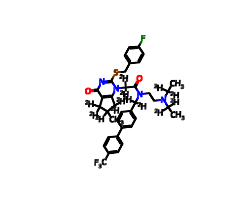 [2H]C([2H])(C)N(CCN(C(=O)C([2H])([2H])n1c(SCc2ccc(F)cc2)nc(=O)c2c1C([2H])([2H])C([2H])(C)C2([2H])[2H])C([2H])([2H])c1ccc(-c2ccc(C(F)(F)F)cc2)cc1)C([2H])([2H])C